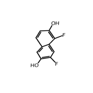 Oc1cc2ccc(O)c(F)c2cc1F